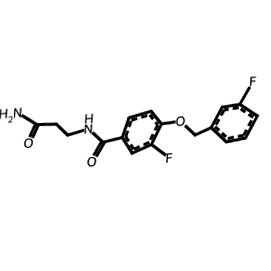 NC(=O)CCNC(=O)c1ccc(OCc2cccc(F)c2)c(F)c1